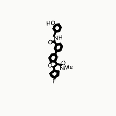 CNC(=O)C1c2cc(-c3cccc(C(=O)NCc4cccc(O)c4)c3)ccc2OC1c1ccc(F)cc1